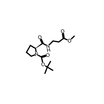 COC(=O)CCNC(=O)[C@@H]1CCCN1C(=O)OC(C)(C)C